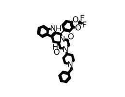 O=C1[C@H]2Cc3c([nH]c4ccccc34)[C@@H](c3ccc4c(c3)OC(F)(F)O4)N2C(=O)CN1C1CCN(Cc2ccccc2)CC1